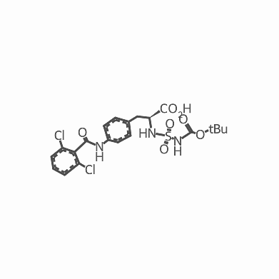 CC(C)(C)OC(=O)NS(=O)(=O)N[C@@H](Cc1ccc(NC(=O)c2c(Cl)cccc2Cl)cc1)C(=O)O